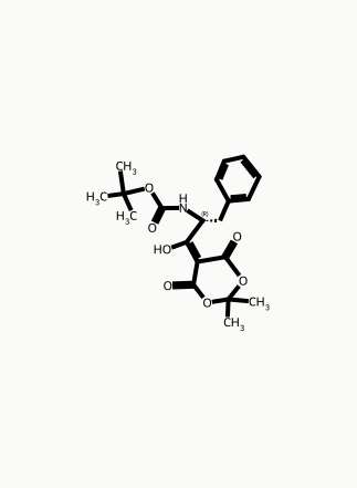 CC(C)(C)OC(=O)N[C@H](Cc1ccccc1)C(O)=C1C(=O)OC(C)(C)OC1=O